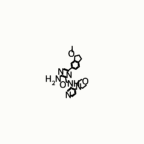 Nc1ncc(-c2ccc3c(c2)C(OI)CC3)nc1C(=O)Nc1cnccc1N1CCOCC1